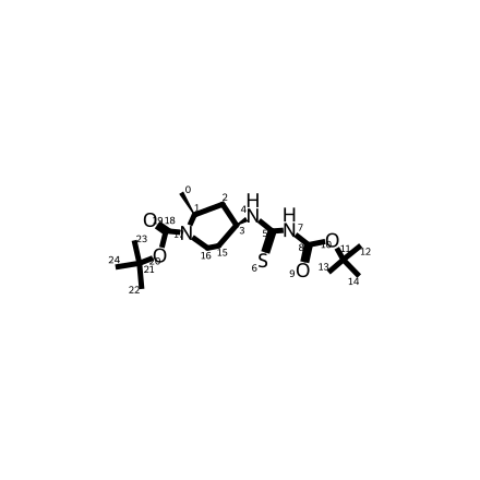 C[C@H]1C[C@@H](NC(=S)NC(=O)OC(C)(C)C)CCN1C(=O)OC(C)(C)C